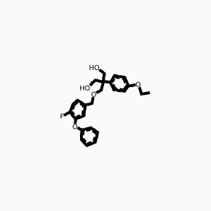 CCOc1ccc(C(CO)(CO)COCc2ccc(F)c(Oc3ccccc3)c2)cc1